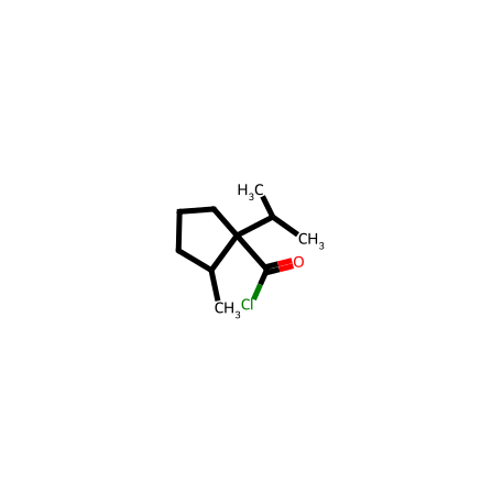 CC(C)C1(C(=O)Cl)CCCC1C